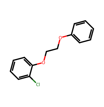 Clc1ccccc1OCCOc1ccccc1